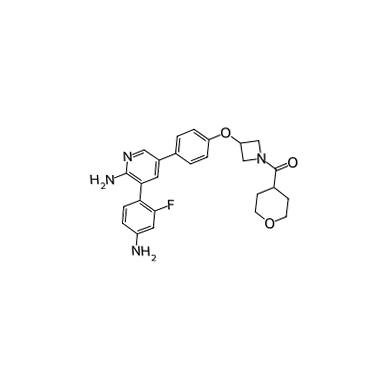 Nc1ccc(-c2cc(-c3ccc(OC4CN(C(=O)C5CCOCC5)C4)cc3)cnc2N)c(F)c1